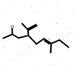 C=C(C)C(C/C=C(\C)CC)CC(C)Cl